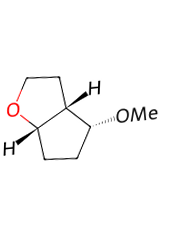 CO[C@@H]1CC[C@@H]2OCC[C@@H]21